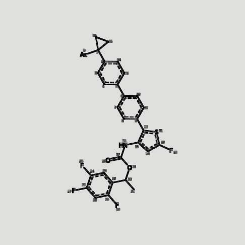 CC(=O)C1(c2ccc(-c3ccc(-c4sc(F)cc4NC(=O)OC(C)c4cc(F)c(F)cc4F)cc3)cc2)CC1